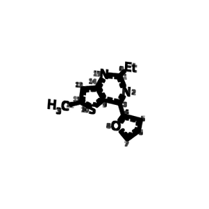 CCc1nc(-c2ccco2)c2sc(C)cc2n1